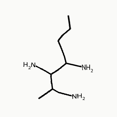 CCCC(N)C(N)C(C)N